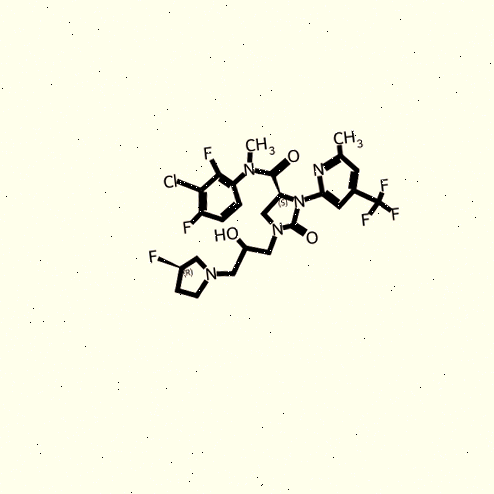 Cc1cc(C(F)(F)F)cc(N2C(=O)N(CC(O)CN3CC[C@@H](F)C3)C[C@H]2C(=O)N(C)c2ccc(F)c(Cl)c2F)n1